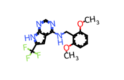 COc1cccc(OC)c1CNc1ncnc2[nH]c(C(F)(F)F)cc12